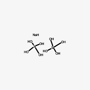 O[Si](O)(O)O.O[Si](O)(O)O.[NaH]